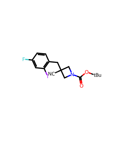 CC(C)(C)OC(=O)N1CC(C#N)(Cc2ccc(F)cc2I)C1